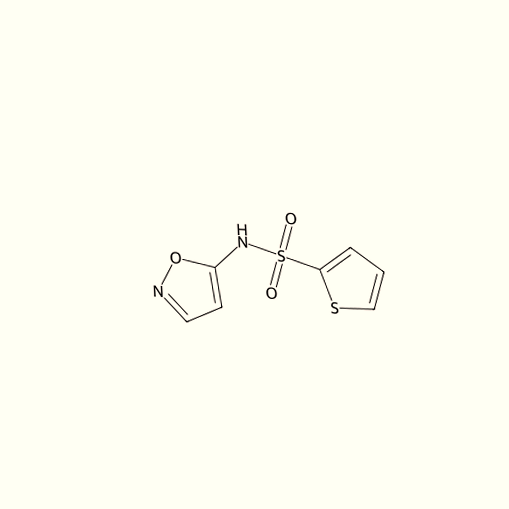 O=S(=O)(Nc1ccno1)c1cccs1